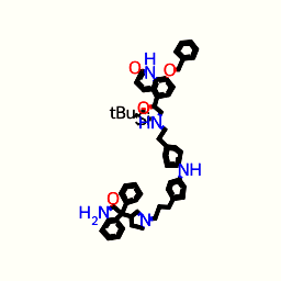 CC(C)(C)[Si](C)(C)OC(CNCCc1ccc(Nc2ccc(CCCN3CCC(C(C(N)=O)(c4ccccc4)c4ccccc4)C3)cc2)cc1)c1ccc(OCc2ccccc2)c2[nH]c(=O)ccc12